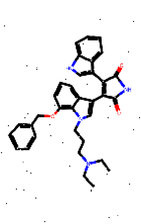 CCN(CC)CCCn1cc(C2=C(c3c[nH]c4ccccc34)C(=O)NC2=O)c2cccc(OCc3ccccc3)c21